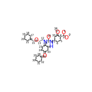 COC(=O)c1ccc(NC(=O)N(CCOCc2ccccc2)c2ccc(Oc3ccccc3)cc2)cc1OC